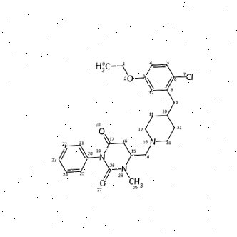 CCOc1ccc(Cl)c(CC2CCN(CC3CC(=O)N(c4ccccc4)C(=O)N3C)CC2)c1